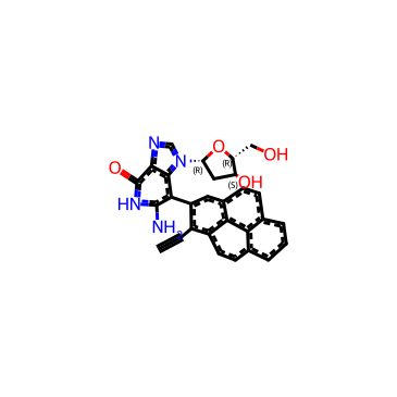 C#Cc1c(-c2c(N)[nH]c(=O)c3ncn([C@H]4C[C@H](O)[C@@H](CO)O4)c23)cc2ccc3cccc4ccc1c2c34